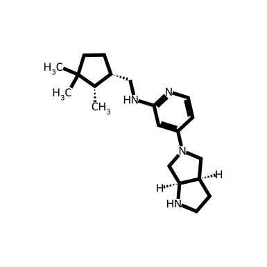 C[C@H]1[C@@H](CNc2cc(N3C[C@H]4CCN[C@H]4C3)ccn2)CCC1(C)C